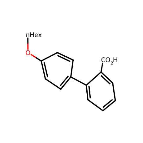 CCCCCCOc1ccc(-c2ccccc2C(=O)O)cc1